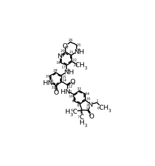 CCN1C(=O)C(C)(C)c2cc(NC(=O)c3c(Nc4cnc5c(c4C)NCCO5)cc[nH]c3=O)ccc21